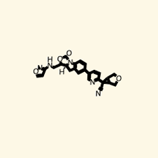 N#CC1(c2ccc(-c3ccc4c(c3)C[C@H]3C(CNc5ccon5)OC(=O)N43)cn2)C2COCC21